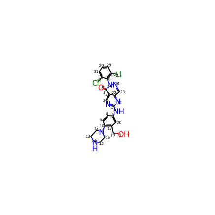 O=c1c2cnc(Nc3ccc(N4CCNCC4)c(CO)c3)nc2cnn1-c1c(Cl)cccc1Cl